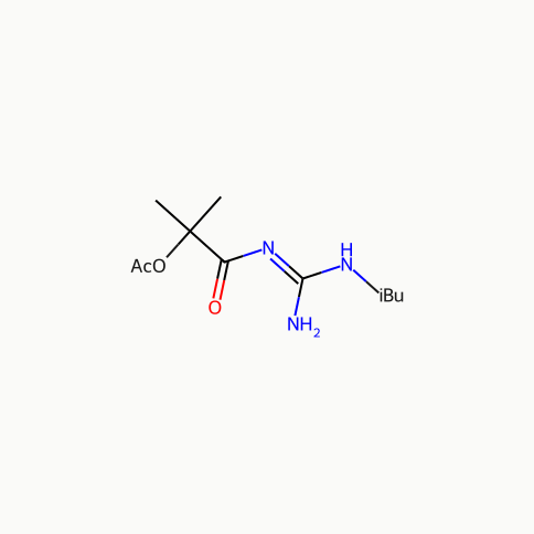 CCC(C)N/C(N)=N/C(=O)C(C)(C)OC(C)=O